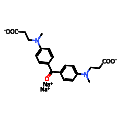 CN(CCC(=O)[O-])c1ccc(C(=O)c2ccc(N(C)CCC(=O)[O-])cc2)cc1.[Na+].[Na+]